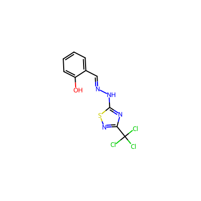 Oc1ccccc1C=NNc1nc(C(Cl)(Cl)Cl)ns1